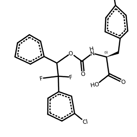 O=C(N[C@@H](Cc1ccc(Cl)cc1)C(=O)O)OC(c1ccccc1)C(F)(F)c1cccc(Cl)c1